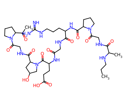 CCCNC(C)C(=O)NCC(=O)N1CCCC1C(=O)NC(CCCNC(=N)N)C(=O)NCC(=O)NC(CCC(=O)O)C(=O)N1CC(O)CC1C(=O)NCC(=O)N1CCCC1C(C)=O